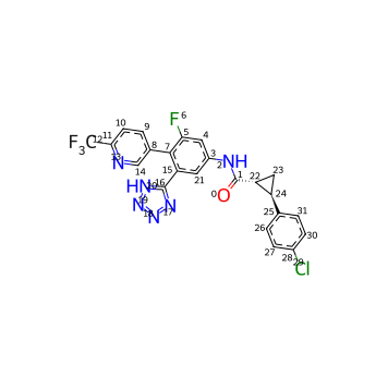 O=C(Nc1cc(F)c(-c2ccc(C(F)(F)F)nc2)c(-c2nnn[nH]2)c1)[C@@H]1C[C@H]1c1ccc(Cl)cc1